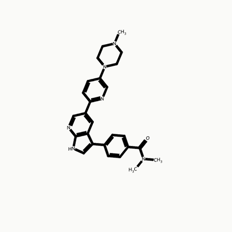 CN1CCN(c2ccc(-c3cnc4[nH]cc(-c5ccc(C(=O)N(C)C)cc5)c4c3)nc2)CC1